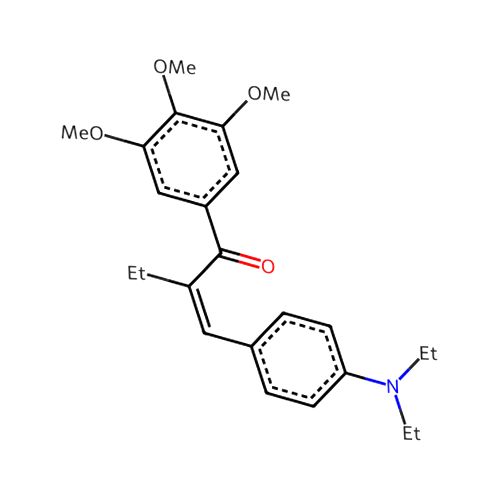 CCC(=Cc1ccc(N(CC)CC)cc1)C(=O)c1cc(OC)c(OC)c(OC)c1